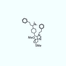 COC(=O)C1(CCSC)N=CN(CCc2ccccc2)C1CC1CCC(C(CCc2ccccc2)N(C)C)CC1